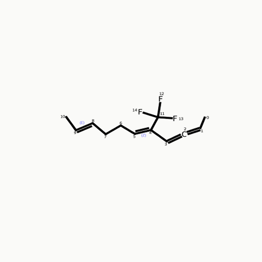 CC=C=C/C(=C/CC/C=C/C)C(F)(F)F